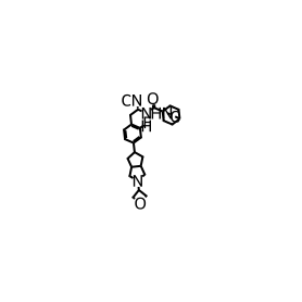 N#C[C@H](Cc1ccc(C2CC3CN(C4COC4)CC3C2)cc1F)NC(=O)C12CCC(CC1)CN2